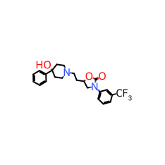 O=C1OC(CCN2CCC(O)(c3ccccc3)CC2)CN1c1cccc(C(F)(F)F)c1